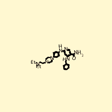 CCN(CC)CCN1CCN(c2ccc(Nc3cc(NCc4ccccc4)c(C(N)=O)cn3)cc2)CC1